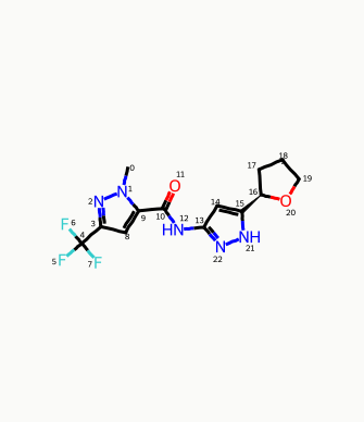 Cn1nc(C(F)(F)F)cc1C(=O)Nc1cc([C@H]2C[CH]CO2)[nH]n1